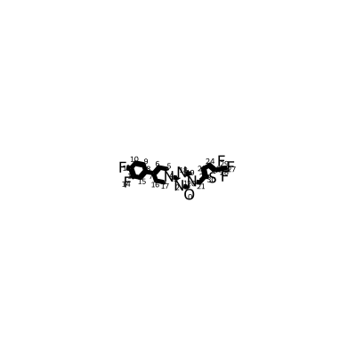 O=c1nc(N2CC=C(c3ccc(F)c(F)c3)CC2)ncn1Cc1ccc(C(F)(F)F)s1